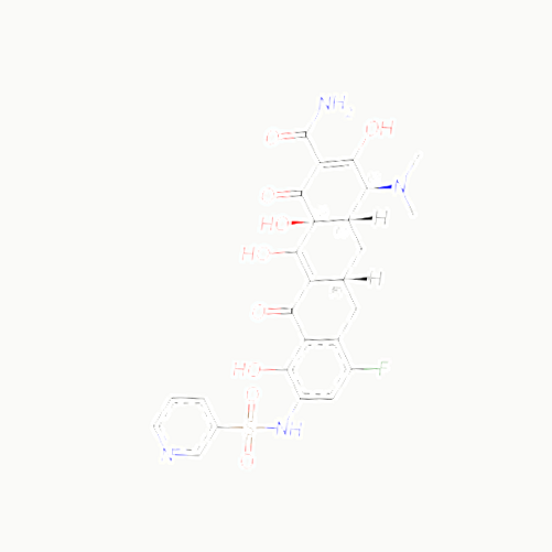 CN(C)[C@@H]1C(O)=C(C(N)=O)C(=O)[C@@]2(O)C(O)=C3C(=O)c4c(O)c(NS(=O)(=O)c5cccnc5)cc(F)c4C[C@H]3C[C@@H]12